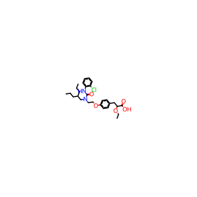 CCCC(CCC)CN(CCOc1ccc(CC(OCC)C(=O)O)cc1)C(=O)Nc1ccccc1Cl